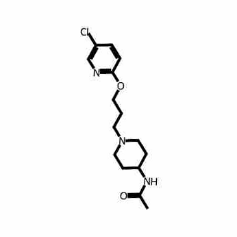 CC(=O)NC1CCN(CCCOc2ccc(Cl)cn2)CC1